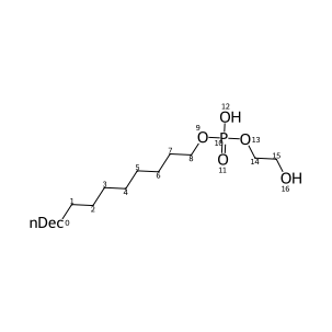 CCCCCCCCCCCCCCCCCCOP(=O)(O)OCCO